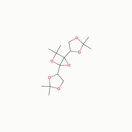 CC1(C)OCC(C23OC(C)(C)C2(C2COC(C)(C)O2)O3)O1